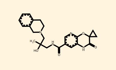 CC(O)(CNC(=O)c1cnc2c(c1)NC(=O)C1(CC1)O2)CN1CCc2ccccc2C1